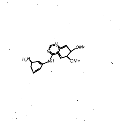 COC1C=c2ncnc(NC3=CC(N)CC=C3)c2=CC1OC